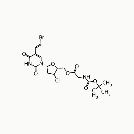 CC(C)(C)OC(=O)NCC(=O)OC[C@H]1O[C@@H](n2cc(C=CBr)c(=O)[nH]c2=O)C[C@@H]1Cl